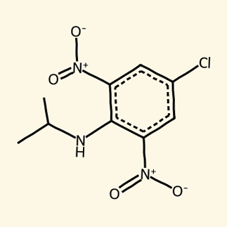 CC(C)Nc1c([N+](=O)[O-])cc(Cl)cc1[N+](=O)[O-]